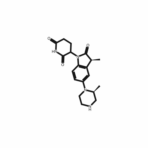 C[C@@H]1C(=O)N(C2CCC(=O)NC2=O)c2ccc(N3CCNC[C@@H]3C)cc21